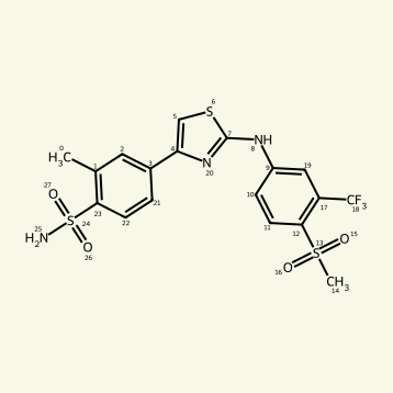 Cc1cc(-c2csc(Nc3ccc(S(C)(=O)=O)c(C(F)(F)F)c3)n2)ccc1S(N)(=O)=O